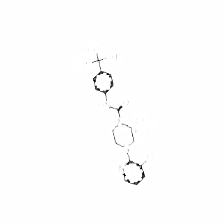 C[C@@H]1CN(c2ncccc2Cl)CCN1C(=O)Nc1ccc(C(C)(C)C)cc1